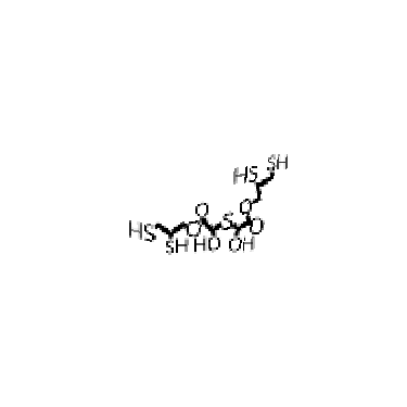 O=C(OCC(S)CS)C(O)SC(O)C(=O)OCC(S)CS